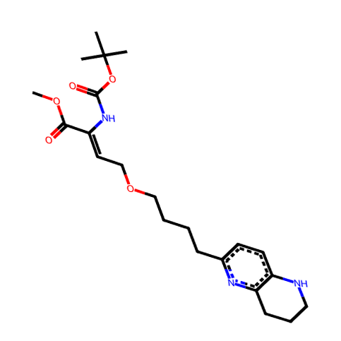 COC(=O)C(=CCOCCCCc1ccc2c(n1)CCCN2)NC(=O)OC(C)(C)C